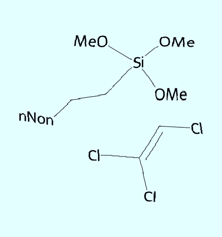 CCCCCCCCCCC[Si](OC)(OC)OC.ClC=C(Cl)Cl